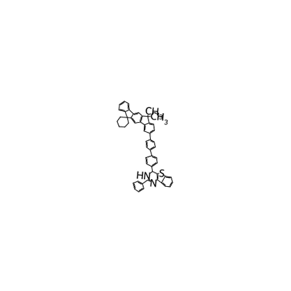 CC1(C)c2ccc(-c3ccc(-c4ccc(C5NC(c6ccccc6)=Nc6c5sc5ccccc65)cc4)cc3)cc2-c2cc3c(cc21)-c1ccccc1C31CCCCC1